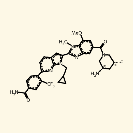 COc1cc(C(=O)N2C[C@H](N)C[C@@H](F)C2)cc2nc(-c3cc4ccc(-c5ccc(C(N)=O)cc5C(F)(F)F)nc4n3CC3CC3)n(C)c12